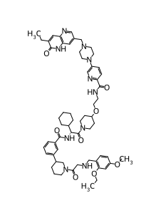 CCOc1cc(OC)ccc1CNCC(=O)N1CCCC(c2cccc(C(=O)N[C@@H](C(=O)N3CCC(OCCNC(=O)c4ccc(N5CCN(Cc6cnc7cc(CC)c(=O)[nH]c7c6)CC5)cn4)CC3)C3CCCCC3)c2)C1